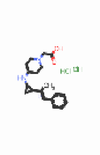 C/C(=C\c1ccccc1)C1CC1NC1CCN(CC(=O)O)CC1.Cl.Cl